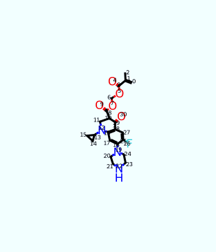 C=C(C)C(=O)OCOC(=O)C1CN(C2CC2)c2cc(N3CCNCC3)c(F)cc2C1=O